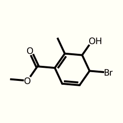 COC(=O)C1=C(C)C(O)C(Br)C=C1